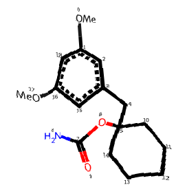 COc1cc(CC2(OC(N)=O)CCCCC2)cc(OC)c1